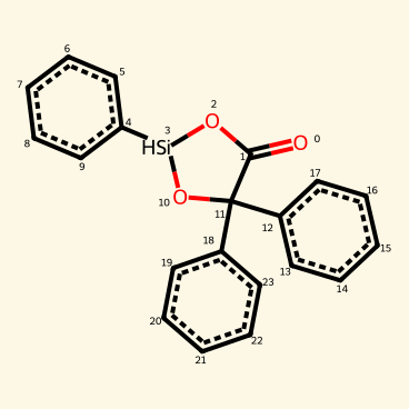 O=C1O[SiH](c2ccccc2)OC1(c1ccccc1)c1ccccc1